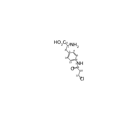 NC(Cc1ccc(NC(=O)CCCl)cc1)C(=O)O